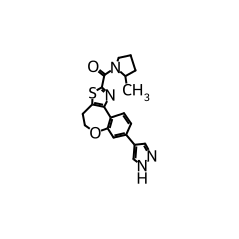 CC1CCCN1C(=O)c1nc2c(s1)CCOc1cc(-c3cn[nH]c3)ccc1-2